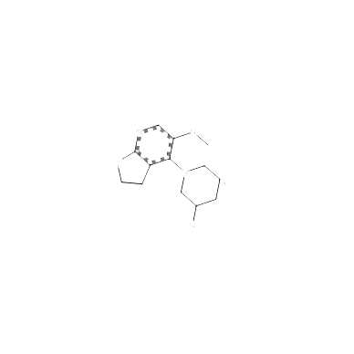 CNc1cnc2c(c1N1CC(N)C[C@@H](C)C1)CCO2